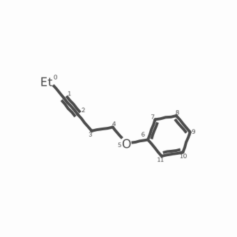 CCC#CCCOc1cc[c]cc1